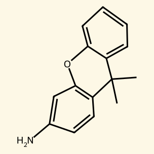 CC1(C)c2ccccc2Oc2cc(N)ccc21